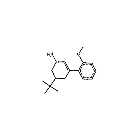 BC1C=C(c2ccccc2OC)CC(C(C)(C)C)C1